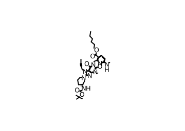 CC#CCn1c(N2CCC[C@@H](NC(=O)OC(C)(C)C)C2)nc2c1c(=O)n(Cc1nc(NC)ccc1C(=O)OCCCCCC)c(=O)n2C